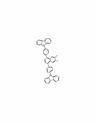 Cc1cc2c(-c3ccc(-n4c5ccccc5c5ccccc54)cc3)ccc(-c3ccc(-n4c5ccccc5c5ccccc54)cc3)c2cc1C